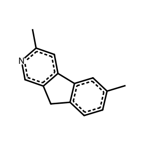 Cc1ccc2c(c1)-c1cc(C)ncc1C2